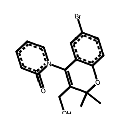 CC1(C)Oc2ccc(Br)cc2C(n2ccccc2=O)=C1CO